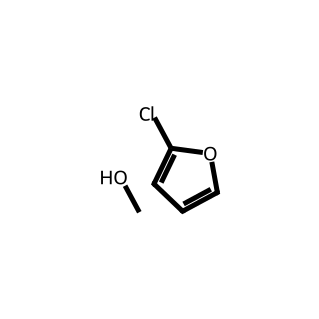 CO.Clc1ccco1